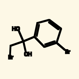 OC(O)(CBr)c1cccc(Br)c1